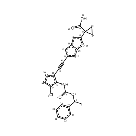 CC(OC(=O)Nc1c(Cl)noc1C#Cc1cc2cc(C3(C(=O)O)CC3)sc2s1)c1ccccc1